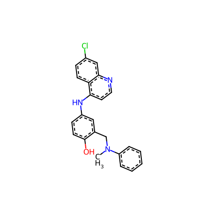 CN(Cc1cc(Nc2ccnc3cc(Cl)ccc23)ccc1O)c1ccccc1